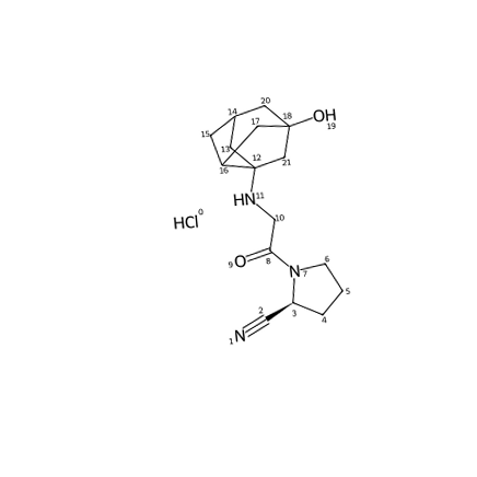 Cl.N#C[C@@H]1CCCN1C(=O)CNC12CC3CC1CC(O)(C3)C2